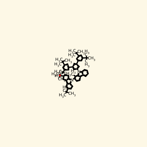 Cc1c(-n2c3ccc(C(C)(C)C)cc3c3cc(C(C)(C)C)ccc32)ccc2c3ccccc3n(-c3cc(-c4cc(C(C)(C)C)cc(C(C)(C)C)c4)cc(-c4cc(C(C)(C)C)cc(C(C)(C)C)c4)c3)c12